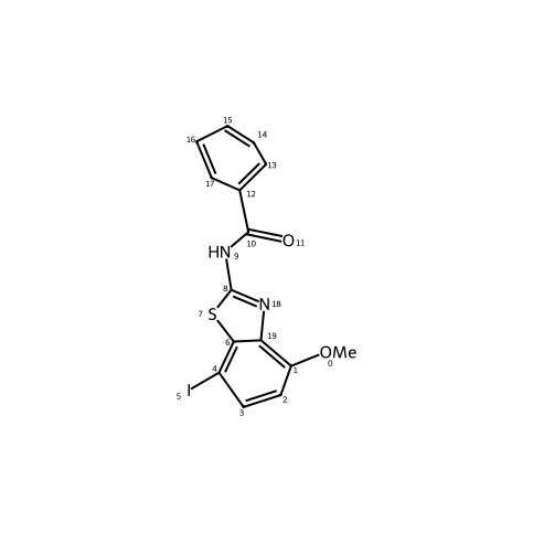 COc1ccc(I)c2sc(NC(=O)c3ccccc3)nc12